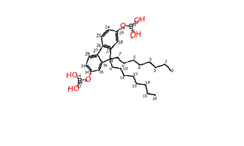 CCCCCCCCC1(CCCCCCCC)c2cc(OB(O)O)ccc2-c2ccc(OB(O)O)cc21